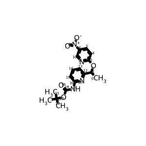 CC(Oc1ccc([N+](=O)[O-])cn1)c1cccc(NC(=O)OC(C)(C)C)n1